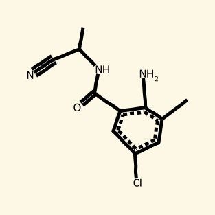 Cc1cc(Cl)cc(C(=O)NC(C)C#N)c1N